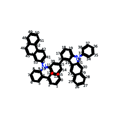 c1ccc(-c2ccccc2N(c2cccc(-c3cccc4c3c3cc5ccccc5cc3n4-c3ccccc3)c2)c2ccc3c(ccc4ccccc43)c2)cc1